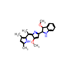 COC1=CC(C2Nc3ccccc3C2OC)=N/C1=C(\C)c1[nH]c(C)cc1C